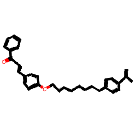 C=C(C)c1ccc(CCCCCCCCOc2ccc(C=CC(=O)c3ccccc3)cc2)cc1